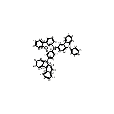 c1ccc(-n2c3ccccc3c3cc(N(c4ccc(-n5c6ccccc6c6c7ccccc7ccc65)cc4)c4cccc5c4oc4ccccc45)ccc32)cc1